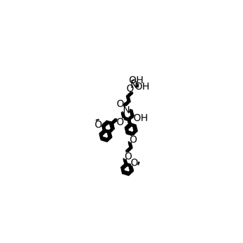 COc1ccccc1COCCCOc1ccc(C2C(O)CN(C(=O)CCCON(O)O)CC2OCc2cc(OC)c3ccccc3c2)cc1